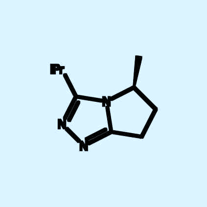 CC(C)c1nnc2n1[C@@H](C)CC2